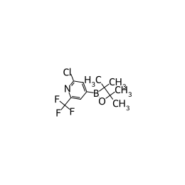 CC1(C)OB(c2cc(Cl)nc(C(F)(F)F)c2)C1(C)C